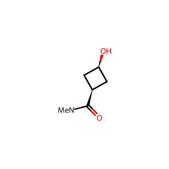 CNC(=O)[C@H]1C[C@@H](O)C1